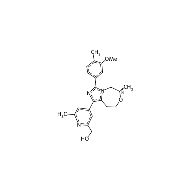 COc1cc(-c2nc(-c3cc(C)nc(CO)c3)c3n2C[C@@H](C)OCC3)ccc1C